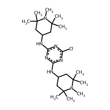 CN1C(C)(C)CC(Nc2nc(Cl)nc(NC3CC(C)(C)N(C)C(C)(C)C3)n2)CC1(C)C